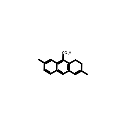 CC1=Cc2cc3ccc(C)cc3c(C(=O)O)c2CC1